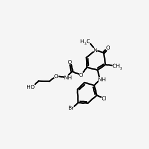 Cc1c(Nc2ccc(Br)cc2Cl)c(OC(=O)NOCCO)cn(C)c1=O